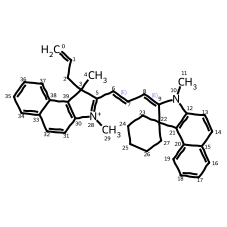 C=CCC1(C)C(/C=C/C=C2/N(C)c3ccc4ccccc4c3C23CCCCC3)=[N+](C)c2ccc3ccccc3c21